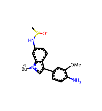 CC[C@H](C)n1cc(-c2ccc(N)c(OC)c2)c2ccc(N[S+](C)[O-])cc21